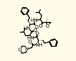 CC(C)CC(NC(=O)[C@H](CCc1ccccc1)NC(=O)CN1CCOCC1)C(=O)N[C@@H](CCc1ccccc1)C(=O)NC(CC(C)C)C(=O)[C@@]1(C)CO1